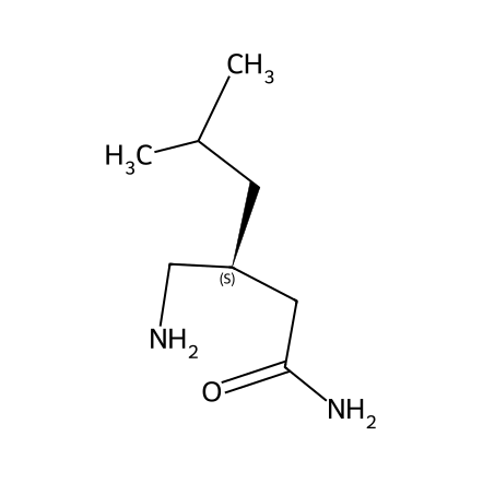 CC(C)C[C@H](CN)CC(N)=O